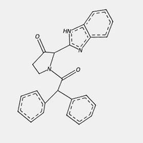 O=C1CCN(C(=O)C(c2ccccc2)c2ccccc2)C1c1nc2ccccc2[nH]1